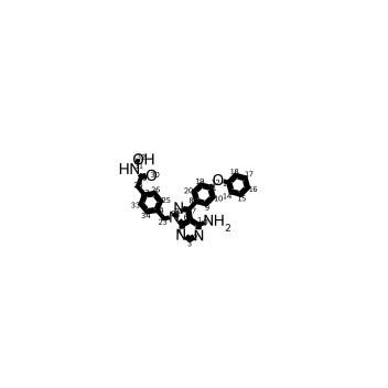 Nc1ncnc2c1c(-c1ccc(Oc3ccccc3)cc1)nn2Cc1ccc(CC(=O)NO)cc1